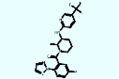 CC1C(Nc2ccc(C(F)(F)F)cn2)CCCN1C(=O)c1cc(F)ccc1-n1nccn1